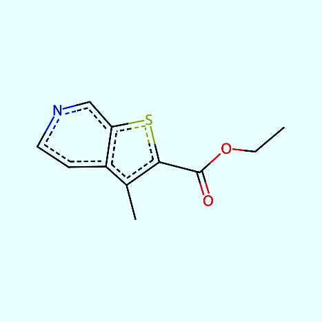 CCOC(=O)c1sc2cnccc2c1C